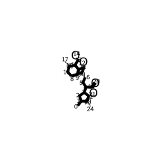 CC1CC2C(CC[C@@H]3C4CC5C3OC(=O)C5[C@@H](C)C4)C(=O)OC2[C@@H]1C